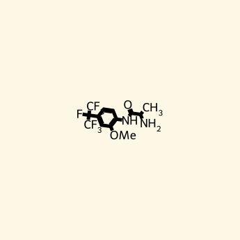 COc1cc(C(F)(C(F)(F)F)C(F)(F)F)ccc1NC(=O)C(C)N